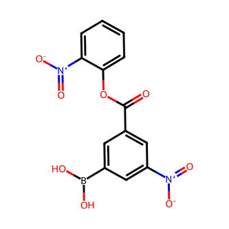 O=C(Oc1ccccc1[N+](=O)[O-])c1cc(B(O)O)cc([N+](=O)[O-])c1